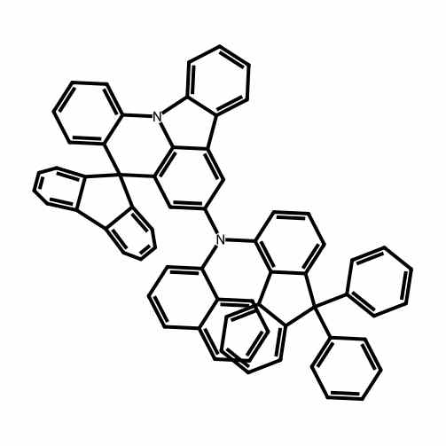 c1ccc(C2(c3ccccc3)c3ccccc3-c3c(N(c4cc5c6c(c4)c4ccccc4n6-c4ccccc4C54c5ccccc5-c5ccccc54)c4cccc5ccccc45)cccc32)cc1